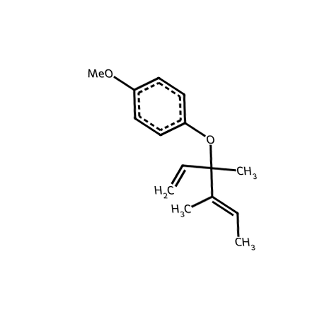 C=CC(C)(Oc1ccc(OC)cc1)C(C)=CC